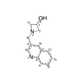 OC1CN(Cc2cnc3ccccc3c2)C1